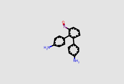 Nc1ccc(-c2cccc(P=O)c2-c2ccc(N)cc2)cc1